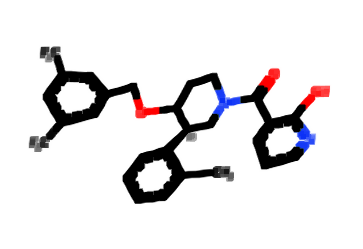 Cc1ccccc1[C@@H]1CN(C(=O)c2cccnc2O)CCC1OCc1cc(C(F)(F)F)cc(C(F)(F)F)c1